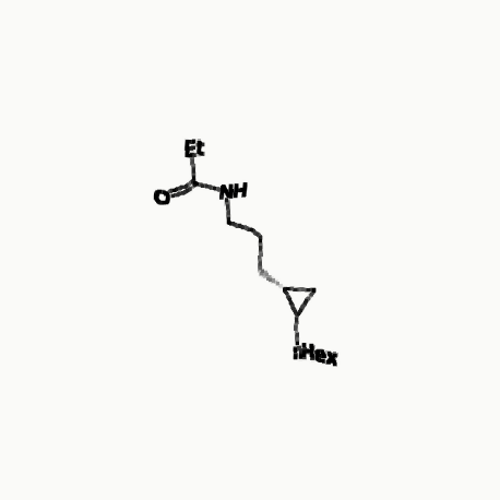 CCCCCCC1C[C@H]1CCCNC(=O)CC